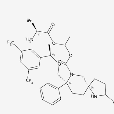 CC(OC(=O)[C@@H](N)C(C)C)OC(=O)N1C[C@@]2(CCC(O)N2)CC[C@@]1(CO[C@H](C)c1cc(C(F)(F)F)cc(C(F)(F)F)c1)c1ccccc1